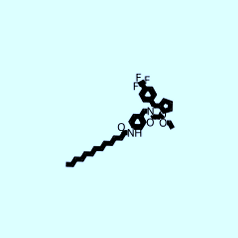 CCCCCCCCCCCCC(=O)Nc1ccc(CN(C(=O)C(=O)OCC)C(c2ccc(C(F)(F)F)cc2)C2CCCC2)cc1